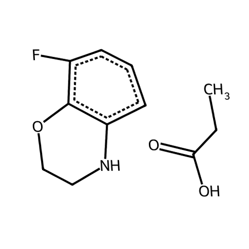 CCC(=O)O.Fc1cccc2c1OCCN2